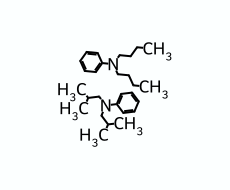 CC(C)CN(CC(C)C)c1ccccc1.CCCCN(CCCC)c1ccccc1